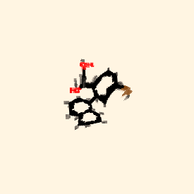 OB(O)c1ccc(Br)cc1-c1cccc2ccccc12